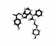 CC(Cn1ncc2c(N(C(=O)OCCN3CCN(C)CC3)c3ccccc3)ncnc21)c1ccc(Br)cc1